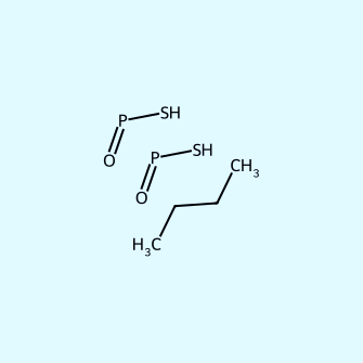 CCCC.O=PS.O=PS